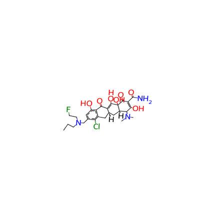 CCCN(CCF)Cc1cc(O)c2c(c1Cl)C[C@H]1C[C@H]3[C@H](N(C)C)C(O)=C(C(N)=O)C(=O)[C@@]3(O)C(O)=C1C2=O